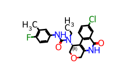 CCN(C(=O)Nc1ccc(F)c(C)c1)[C@H]1COCc2[nH]c(=O)c3cc(Cl)ccc3c21